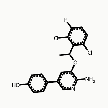 CC(Oc1cc(-c2ccc(O)cc2)cnc1N)c1c(Cl)ccc(F)c1Cl